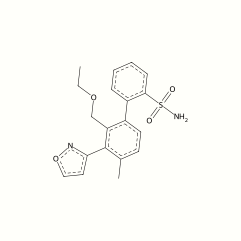 CCOCc1c(-c2ccccc2S(N)(=O)=O)ccc(C)c1-c1ccon1